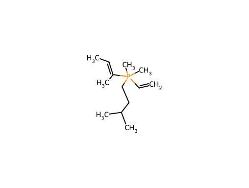 C=CP(C)(C)(CCC(C)C)C(C)=CC